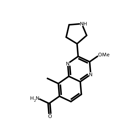 COc1nc2ccc(C(N)=O)c(C)c2nc1C1CCNC1